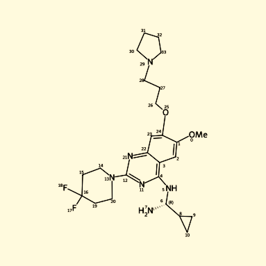 COc1cc2c(N[C@@H](N)C3CC3)nc(N3CCC(F)(F)CC3)nc2cc1OCCCN1CCCC1